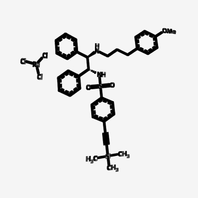 COc1ccc(CCCN[C@H](c2ccccc2)[C@H](NS(=O)(=O)c2ccc(C#C[Si](C)(C)C)cc2)c2ccccc2)cc1.[Cl][Ru]([Cl])[Cl]